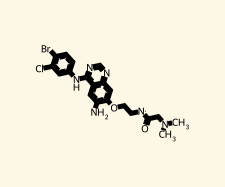 CN(C)CC(=O)[N]CCOc1cc2ncnc(Nc3ccc(Br)c(Cl)c3)c2cc1N